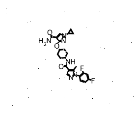 Cc1c(C(=O)N[C@H]2CC[C@H](Oc3nn(C4CC4)cc3C(N)=O)CC2)cnn1-c1ccc(F)cc1F